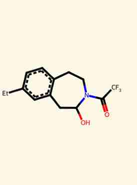 CCc1ccc2c(c1)CC(O)N(C(=O)C(F)(F)F)CC2